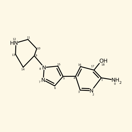 Nc1ncc(-c2cnn(C3CCNCC3)c2)cc1O